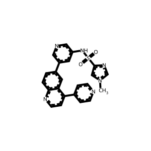 Cn1cnc(S(=O)(=O)Nc2cncc(-c3ccc4nccc(-c5ccncc5)c4c3)c2)c1